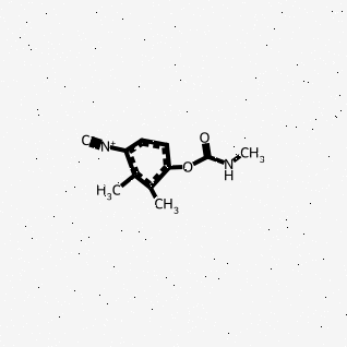 [C-]#[N+]c1ccc(OC(=O)NC)c(C)c1C